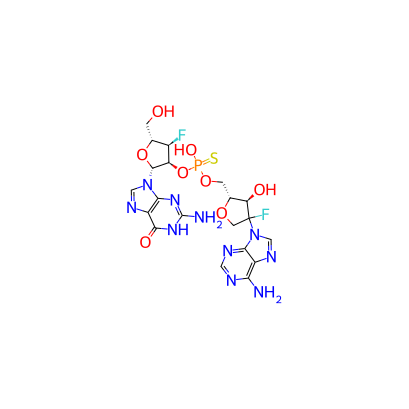 Nc1nc2c(ncn2[C@@H]2O[C@H](CO)[C@@H](F)[C@H]2OP(O)(=S)OC[C@H]2OCC(F)(n3cnc4c(N)ncnc43)[C@@H]2O)c(=O)[nH]1